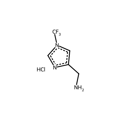 Cl.NCc1cn(C(F)(F)F)cn1